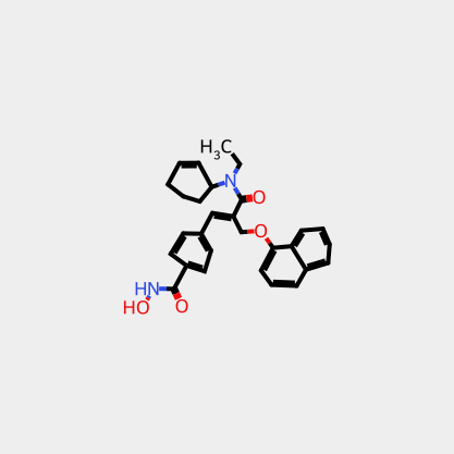 CCN(C(=O)/C(=C/c1ccc(C(=O)NO)cc1)COc1cccc2ccccc12)C1C=CCCC1